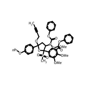 CC#CCOC1(c2ccc(OCCC)cc2)CC(N(OC(=O)Oc2ccccc2)C(=O)Oc2ccccc2)C(c2cc(OC)c(OC)c(OC)c2)(S(C)(=O)=O)O1